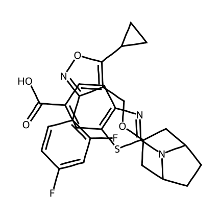 O=C(O)c1ccc2nc(N3C4CCC3CC(OCc3c(-c5ccc(F)cc5F)noc3C3CC3)C4)sc2c1